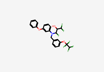 OC(C(F)F)C(F)N(Cc1cccc(OC(F)(F)C(F)F)c1)c1cccc(Oc2ccccc2)c1